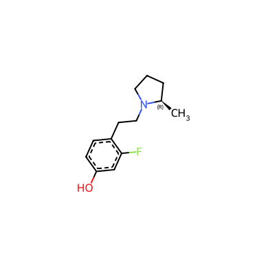 C[C@@H]1CCCN1CCc1ccc(O)cc1F